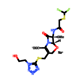 CO[C@@]1(NC(=O)CSC(F)F)C(=O)N2C(C(=O)[O-])=C(CSc3nnnn3CCO)CO[C@@H]21.[Na+]